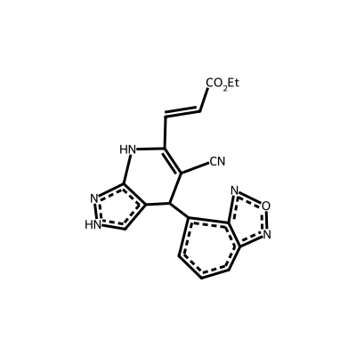 CCOC(=O)C=CC1=C(C#N)C(c2cccc3nonc23)c2c[nH]nc2N1